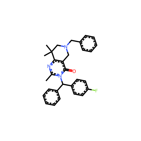 Cc1nc2c(c(=O)n1C(c1ccccc1)c1ccc(F)cc1)CN(Cc1ccccc1)CC2(C)C